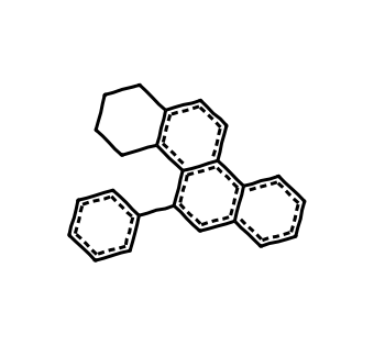 c1ccc(-c2cc3ccccc3c3ccc4c(c23)CCCC4)cc1